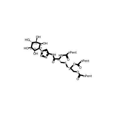 CCCCCC(=O)N[C@H](CSC[C@@H](COC(=O)CCCCC)OC(=O)CCCCC)C(=O)Nc1cn([C@@H]2[C@H](O)[C@H](O)[C@@H](O)[C@H](O)[C@H]2O)nn1